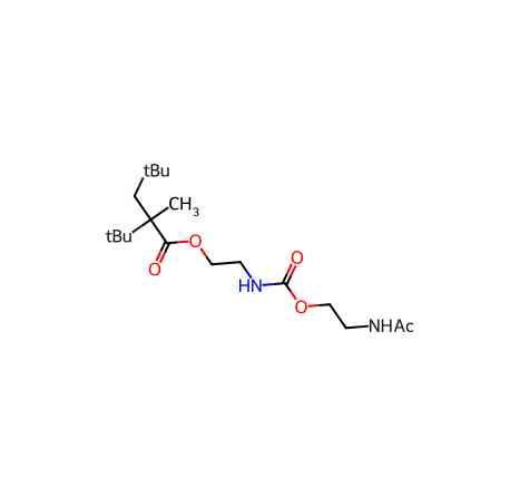 CC(=O)NCCOC(=O)NCCOC(=O)C(C)(CC(C)(C)C)C(C)(C)C